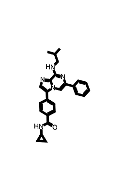 CC(C)CNc1nc(-c2ccccc2)cn2c(-c3ccc(C(=O)NC4CC4)cc3)cnc12